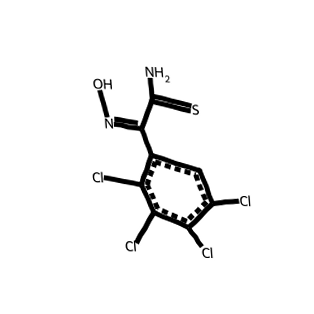 NC(=S)C(=NO)c1cc(Cl)c(Cl)c(Cl)c1Cl